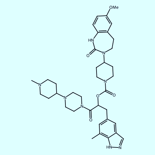 COc1ccc2c(c1)CCN(C1CCN(C(=O)OC(Cc3cc(C)c4[nH]ncc4c3)C(=O)N3CCN(C4CCN(C)CC4)CC3)CC1)C(=O)N2